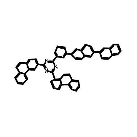 c1cc(-c2ccc3cc(-c4ccc5ccccc5c4)ccc3c2)cc(-c2nc(-c3ccc4ccc5ccccc5c4c3)nc(-c3cccc4c3ccc3ccccc34)n2)c1